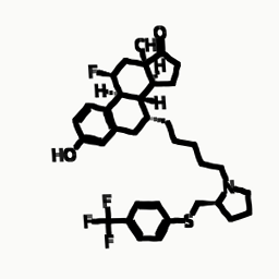 C[C@]12C[C@H](F)[C@@H]3c4ccc(O)cc4C[C@@H](CCCCCN4CCC[C@H]4CSc4ccc(C(F)(F)F)cc4)[C@H]3[C@@H]1CCC2=O